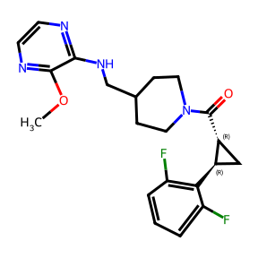 COc1nccnc1NCC1CCN(C(=O)[C@@H]2C[C@H]2c2c(F)cccc2F)CC1